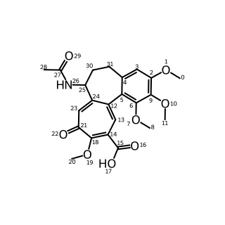 COc1cc2c(c(OC)c1OC)-c1cc(C(=O)O)c(OC)c(=O)cc1C(NC(C)=O)CC2